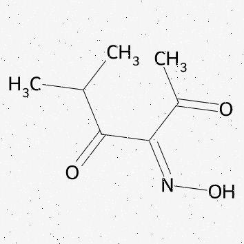 CC(=O)/C(=N\O)C(=O)C(C)C